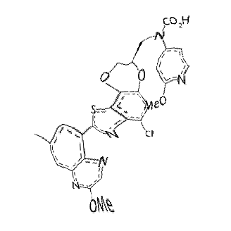 COc1cc(N(C[C@@H]2COc3c(cc(Cl)c4nc(-c5cc(C)cc6nc(OC)cnc56)sc34)O2)C(=O)O)ccn1